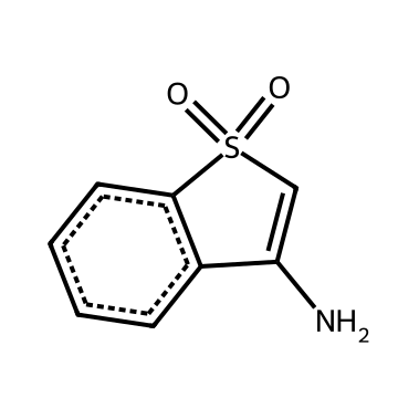 NC1=CS(=O)(=O)c2ccccc21